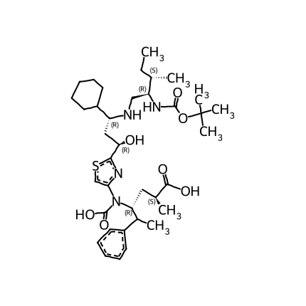 CC[C@H](C)[C@H](CN[C@H](C[C@@H](O)c1nc(N(C(=O)O)[C@H](C[C@H](C)C(=O)O)C(C)c2ccccc2)cs1)C1CCCCC1)NC(=O)OC(C)(C)C